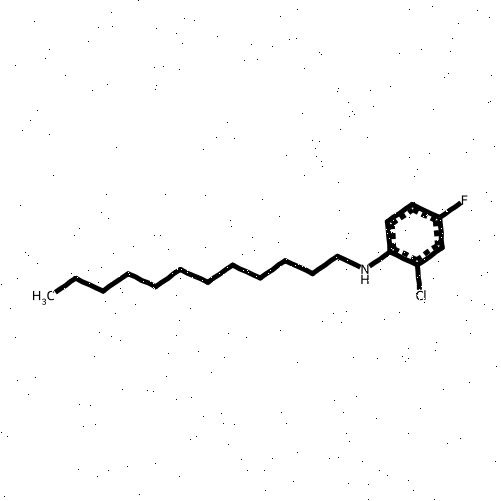 CCCCCCCCCCCCNc1ccc(F)cc1Cl